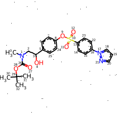 CN(CC(O)c1ccc(OS(=O)(=O)c2ccc(-n3cccn3)cc2)cc1)C(=O)OC(C)(C)C